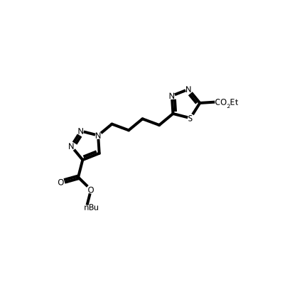 CCCCOC(=O)c1cn(CCCCc2nnc(C(=O)OCC)s2)nn1